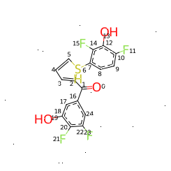 O=C(C1=CC=C[SH]1c1ccc(F)c(O)c1F)c1cc(O)c(F)c(F)c1